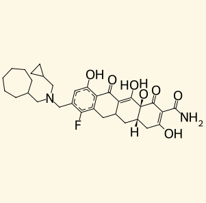 NC(=O)C1=C(O)C[C@@H]2CC3Cc4c(F)c(CN(CC5CCCCCC5)CC5CC5)cc(O)c4C(=O)C3=C(O)[C@]2(O)C1=O